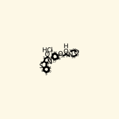 Cl.O=C1CC2CSc3ccccc3C2=NN1c1ccc(OCC(O)CN2CCOCC2)cc1